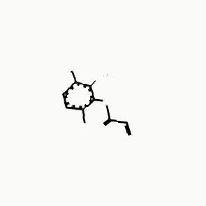 C=CC(=O)Oc1c(F)ccc(F)c1OC